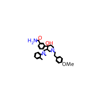 COc1ccc(CCN2CCC(O)(c3cccc(C(N)=O)c3)C(CN(C)c3ccccc3C)C2)cc1